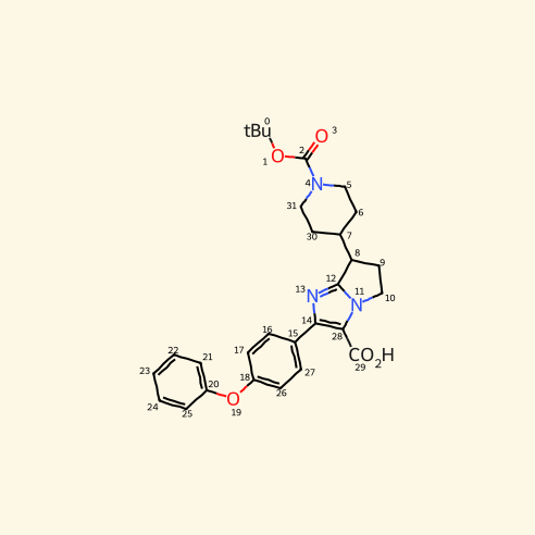 CC(C)(C)OC(=O)N1CCC(C2CCn3c2nc(-c2ccc(Oc4ccccc4)cc2)c3C(=O)O)CC1